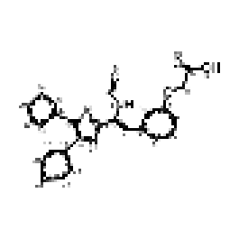 O=CNC(=Cc1cccc(OCC(=O)O)c1)c1nc(-c2ccccc2)c(-c2ccccc2)o1